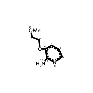 COCCOc1cccnc1N